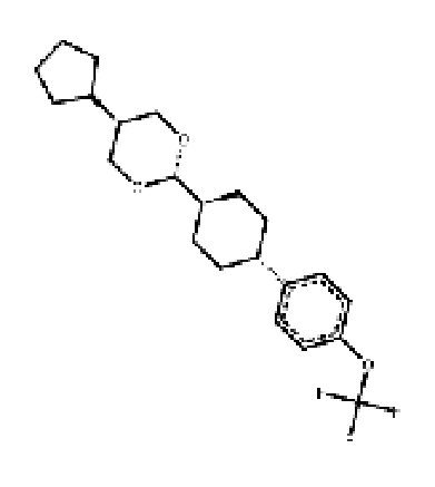 FC(F)(F)Oc1ccc([C@H]2CC[C@H]([C@H]3OC[C@H](C4CCCC4)CO3)CC2)cc1